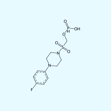 O=[PH](O)OCS(=O)(=O)N1CCN(c2ccc(F)cc2)CC1